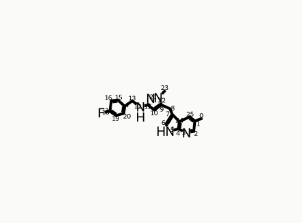 Cc1cnc2[nH]cc(Cc3cc(NCc4ccc(F)cc4)nn3C)c2c1